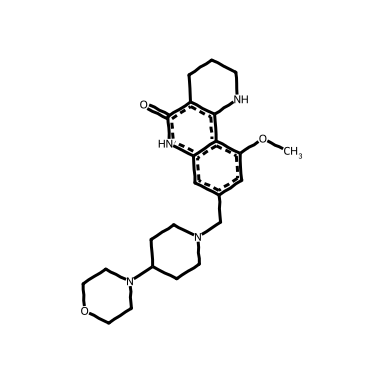 COc1cc(CN2CCC(N3CCOCC3)CC2)cc2[nH]c(=O)c3c(c12)NCCC3